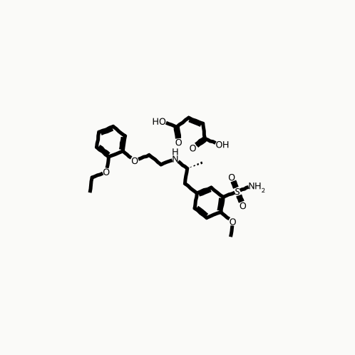 CCOc1ccccc1OCCN[C@H](C)Cc1ccc(OC)c(S(N)(=O)=O)c1.O=C(O)/C=C\C(=O)O